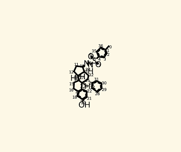 Cc1ccc(S(=O)(=O)N/N=C2/CC[C@H]3[C@@H]4CCc5cc(O)ccc5[C@H]4[C@@H](c4ccccc4)C[C@]23C)cc1